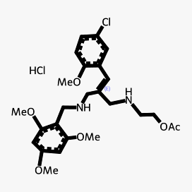 COc1cc(OC)c(CNC/C(=C\c2cc(Cl)ccc2OC)CNCCOC(C)=O)c(OC)c1.Cl